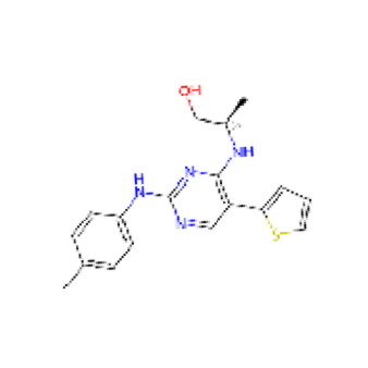 Cc1ccc(Nc2ncc(-c3cccs3)c(N[C@H](C)CO)n2)cc1